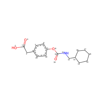 O=C(O)Cc1ccc(OC(=O)NCC2CCCCC2)cc1